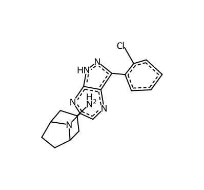 NC1CC2CCC(C1)N2c1cnc2c(-c3ccccc3Cl)n[nH]c2n1